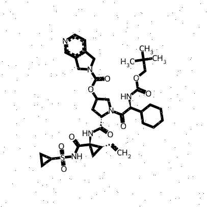 C=C[C@@H]1C[C@]1(NC(=O)[C@@H]1CC(OC(=O)N2Cc3ccncc3C2)CN1C(=O)[C@@H](NC(=O)OCC(C)(C)C)C1CCCCC1)C(=O)NS(=O)(=O)C1CC1